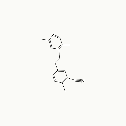 Cc1ccc(C)c(CCc2ccc(C)c(C#N)c2)c1